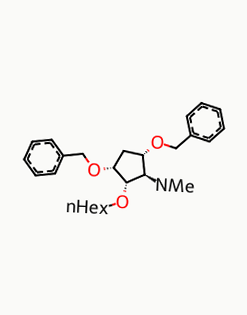 CCCCCCO[C@H]1[C@H](NC)[C@@H](OCc2ccccc2)C[C@H]1OCc1ccccc1